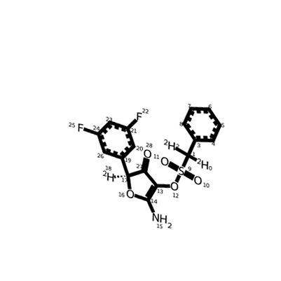 [2H]C([2H])(c1ccccc1)S(=O)(=O)OC1=C(N)O[C@@]([2H])(c2cc(F)cc(F)c2)C1=O